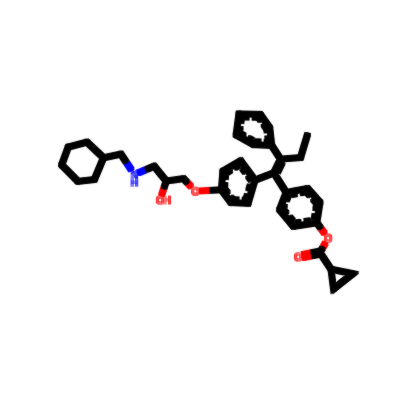 CC/C(=C(/c1ccc(OCC(O)CNCC2CCCCC2)cc1)c1ccc(OC(=O)C2CC2)cc1)c1ccccc1